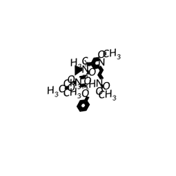 COC(=O)NCCCc1cc([C@@H](C)N(C(=O)[C@H]2CN(C(=O)OC(C)(C)C)C[C@@H](COCc3ccccc3)O2)C2CC2)cc(OC)n1